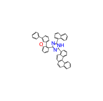 c1ccc(-c2cccc3c2oc2cccc(C4=NC(c5cccc6c5ccc5ccc7ccccc7c56)NC(c5cccc6ccccc56)=N4)c23)cc1